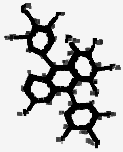 Fc1ccc2c(-c3cc(F)c(F)c(F)c3)c3c(F)c(F)c(F)c(F)c3c(-c3cc(F)c(F)c(F)c3)c2c1